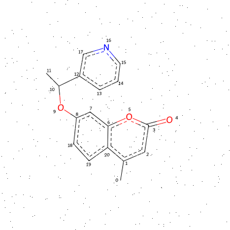 Cc1cc(=O)oc2cc(OC(C)c3cccnc3)ccc12